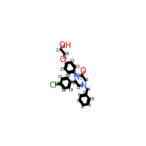 O=C1CN(Cc2ccccc2)C[C@@H](c2ccc(Cl)cc2)N1c1ccc(OCCO)cc1